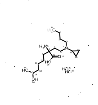 CCCCN(CCC(N)(CCCCB(O)O)C(=O)O)C1CC1.Cl.Cl